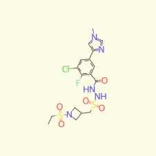 CCS(=O)(=O)N1CC(CS(=O)(=O)NNC(=O)c2cc(-c3cn(C)cn3)cc(Cl)c2F)C1